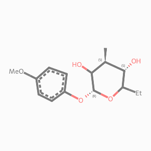 CCC1O[C@H](Oc2ccc(OC)cc2)C(O)[C@@H](C)[C@@H]1O